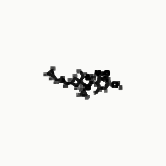 COc1nc(C(F)(F)F)cc(C)c1C(=O)NC(C)C1(CC2CC2)CC(CSCC2CC2)C1